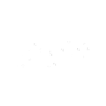 COc1ccc2c(c1)c(C1CON=C(c3ccc(-n4ccnc4C)c(OC)n3)N1)cn2C